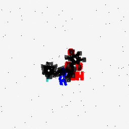 CC1=C(C)C(=O)C(CCC(C)(O)C(=O)NCCc2ccccc2F)=C(C)C1=O